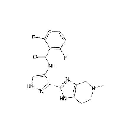 CN1CCc2[nH]c(-c3n[nH]cc3NC(=O)c3c(F)cccc3F)nc2C1